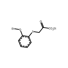 CCOC(=O)C(=O)CSc1ccccc1OCC